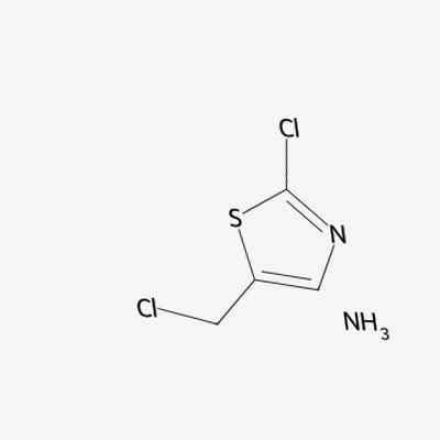 ClCc1cnc(Cl)s1.N